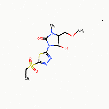 CCS(=O)(=O)c1nnc(N2C(=O)N(C)C(COC)C2O)s1